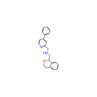 c1ccc(-c2ccnc(CNCC3OCCc4ccccc43)c2)cc1